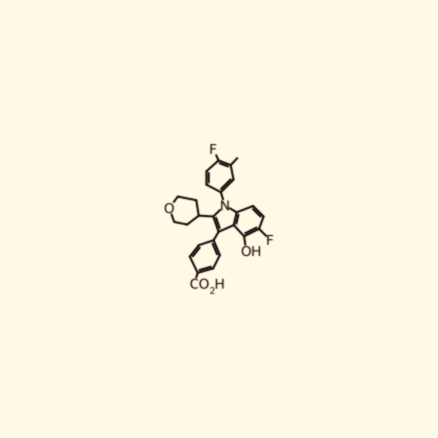 Cc1cc(-n2c(C3CCOCC3)c(-c3ccc(C(=O)O)cc3)c3c(O)c(F)ccc32)ccc1F